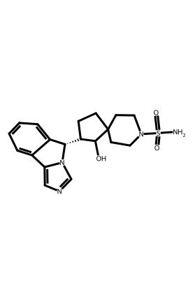 NS(=O)(=O)N1CCC2(CCC([C@H]3c4ccccc4-c4cncn43)C2O)CC1